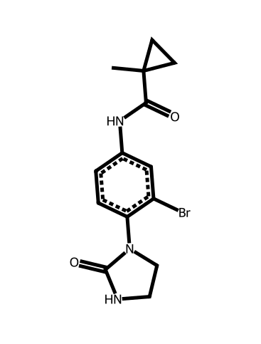 CC1(C(=O)Nc2ccc(N3CCNC3=O)c(Br)c2)CC1